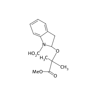 COC(=O)C(C)(C)OC1Cc2ccccc2N1C(=O)O